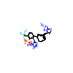 CS(=O)(=O)c1c(C(F)(F)F)ccc(-c2cccc(-c3ccnc(N)n3)c2)c1-c1nnn[nH]1